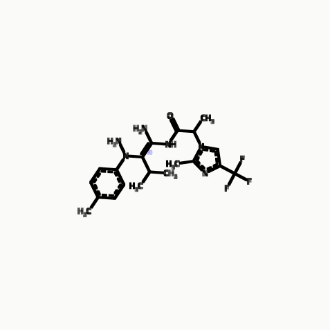 Cc1ccc(N(N)/C(=C(\N)NC(=O)C(C)n2cc(C(F)(F)F)nc2C)C(C)C)cc1